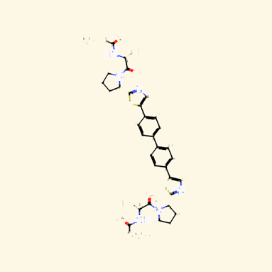 CCC[C@H](NC(=O)OC)C(=O)N1CCC[C@H]1c1ncc(-c2ccc(-c3ccc(-c4cnc([C@@H]5CCCN5C(=O)[C@H](CCC)NC(=O)OC)s4)cc3)cc2)s1